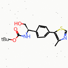 Cc1ncsc1-c1ccc([C@H](CO)NC(=O)OC(C)(C)C)cc1